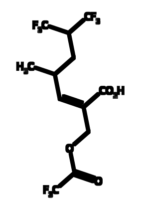 CC(C=C(COC(=O)C(F)(F)F)C(=O)O)CC(C(F)(F)F)C(F)(F)F